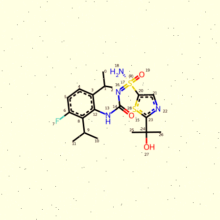 CC(C)c1ccc(F)c(C(C)C)c1NC(=O)N=[S@@](N)(=O)c1cnc(C(C)(C)O)s1